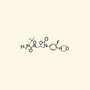 CC(C)(C)ON(CC1CN(c2ccc(N3CCOCC3)c(F)c2)C(=O)O1)C(N)=O